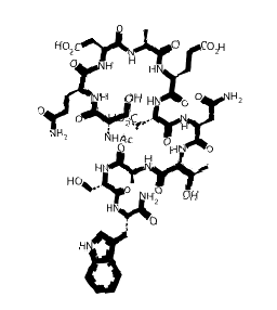 CC(=O)N[C@H](C(=O)N[C@@H](CCC(N)=O)C(=O)N[C@@H](CC(=O)O)C(=O)N[C@@H](C)C(=O)N[C@@H](CCC(=O)O)C(=O)N[C@@H](CC(=O)O)C(=O)N[C@@H](CC(N)=O)C(=O)N[C@H](C(=O)N[C@@H](C)C(=O)N[C@@H](CO)C(=O)N[C@@H](Cc1c[nH]c2ccccc12)C(N)=O)[C@@H](C)O)[C@@H](C)O